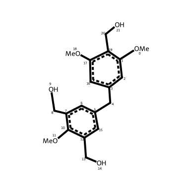 COc1cc(Cc2cc(CO)c(OC)c(CO)c2)cc(OC)c1CO